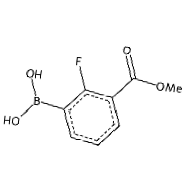 COC(=O)c1cccc(B(O)O)c1F